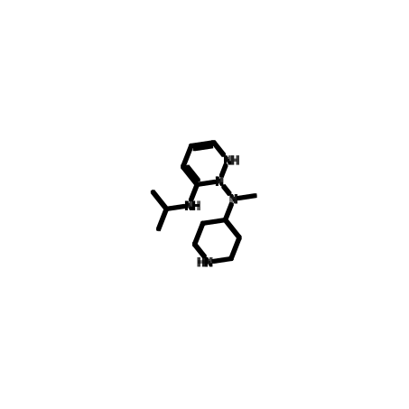 CC(C)NC1=CC=CNN1N(C)C1CCNCC1